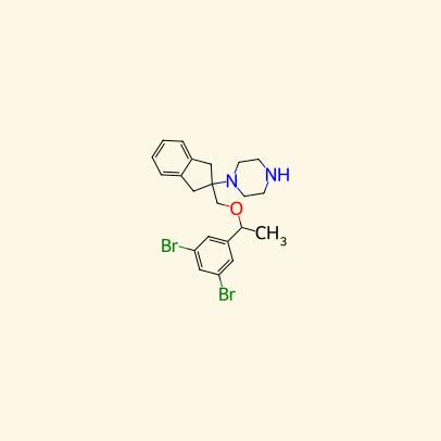 CC(OCC1(N2CCNCC2)Cc2ccccc2C1)c1cc(Br)cc(Br)c1